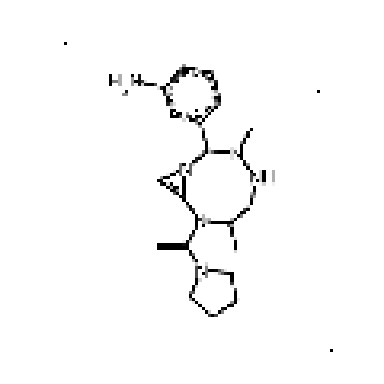 C=C(N1CCCC1)N1C2=CN2C(c2cccc(N)c2)N(C)NCC1C